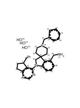 CC(C)C1CCc2ncnc(N3CC4(CCN(Cc5ccccc5)CC4)c4c(CN)cccc43)c21.Cl.Cl.Cl